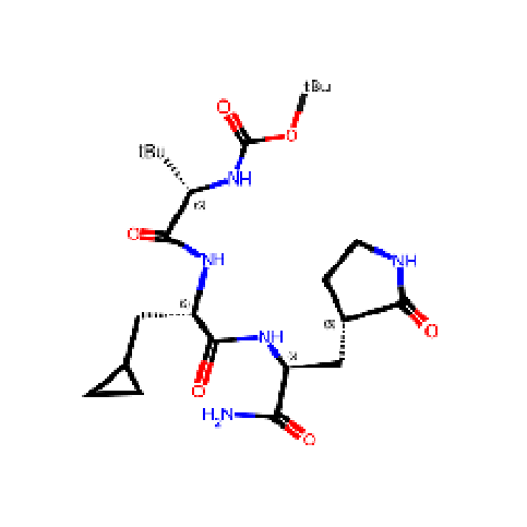 CC(C)(C)OC(=O)N[C@H](C(=O)N[C@@H](CC1CC1)C(=O)N[C@@H](C[C@@H]1CCNC1=O)C(N)=O)C(C)(C)C